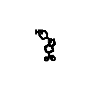 O=[N+]([O-])c1ccc2c(ccn2C2CCNCC2)c1